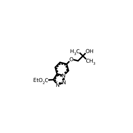 CCOC(=O)c1nnn2cc(OCC(C)(C)O)ccc12